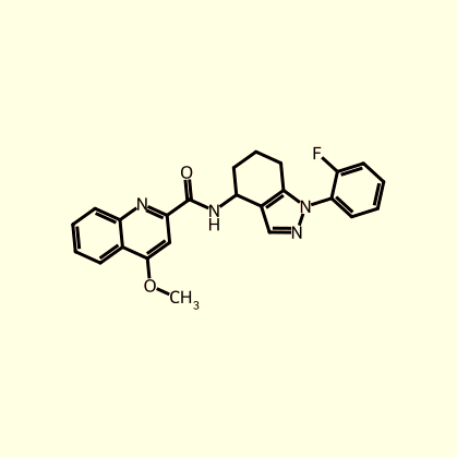 COc1cc(C(=O)NC2CCCc3c2cnn3-c2ccccc2F)nc2ccccc12